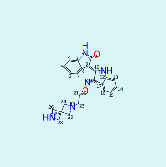 O=C1Nc2ccccc2/C1=C1/Nc2ccccc2/C1=N\OCCN1CC2(CNC2)C1